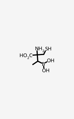 CC(B(O)O)C(N)(CS)C(=O)O